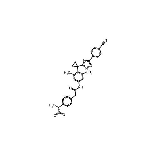 Cc1cc(NC(=O)Cc2ccc(C(C)[SH](=O)=O)cc2)cc(C)c1C1(c2noc(-c3ccc(C#N)cc3)n2)CC1